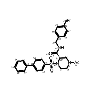 CC(=O)N1CCN(S(=O)(=O)c2ccc(-c3ccccc3)cc2)[C@@H](C(=O)NCc2ccc(C(C)C)cc2)C1